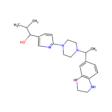 CC(C)C(O)c1ccc(N2CCN(C(C)c3ccc4c(c3)PCCN4)CC2)nc1